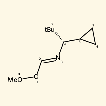 COO/C=N/[C@@H](C1CC1)C(C)(C)C